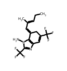 CCC=C(C)C=C1CC(C(F)(F)F)=Cc2nc(C(F)(F)F)n(N)c21